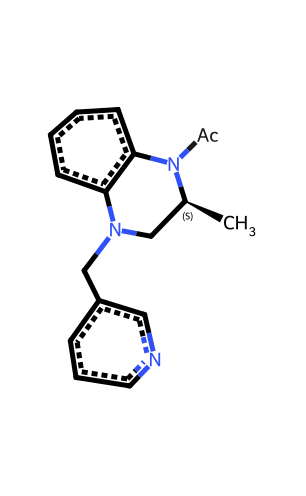 CC(=O)N1c2ccccc2N(Cc2cccnc2)C[C@@H]1C